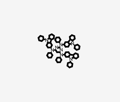 c1ccc(N(c2ccc3c(c2)c2ccccc2n3-c2ccccc2)c2cc(N(c3ccccc3)c3ccc4c5ccccc5n(-c5ccccc5)c4c3)nc(N(c3ccccc3)c3ccc4c(c3)c3ccccc3n4-c3ccccc3)n2)cc1